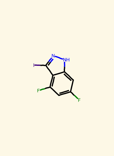 Fc1cc(F)c2c(I)n[nH]c2c1